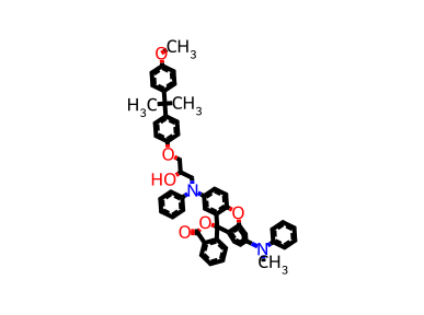 COc1ccc(C(C)(C)c2ccc(OCC(O)CN(c3ccccc3)c3ccc4c(c3)C3(OC(=O)c5ccccc53)c3ccc(N(C)c5ccccc5)cc3O4)cc2)cc1